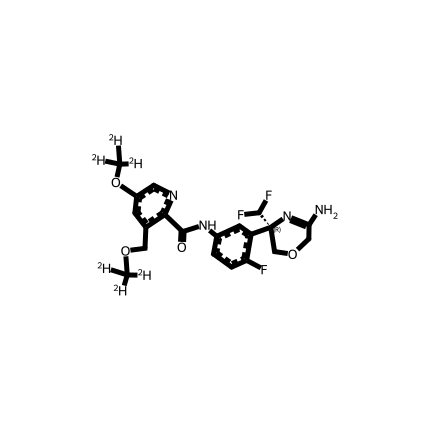 [2H]C([2H])([2H])OCc1cc(OC([2H])([2H])[2H])cnc1C(=O)Nc1ccc(F)c([C@]2(C(F)F)COCC(N)=N2)c1